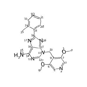 COc1cncc(OC)c1Cn1cnc(N)c2nc(-c3ccccc3C)nc1-2